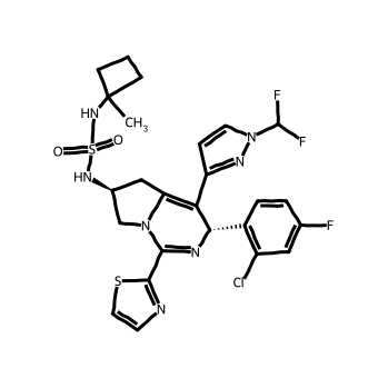 CC1(NS(=O)(=O)N[C@H]2CC3=C(c4ccn(C(F)F)n4)[C@H](c4ccc(F)cc4Cl)N=C(c4nccs4)N3C2)CCC1